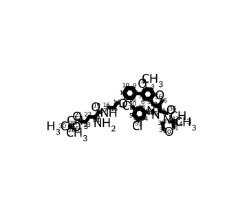 COc1cc2c(cc1-c1cccc(OCCCNC(=O)[C@H](N)CCC(=O)OC(C)(C)C)c1)-c1c(c(C(=O)N3CCOCC3(C)C)nn1-c1cc(Cl)cc(Cl)c1)CO2